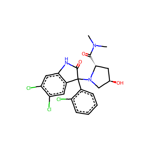 CN(C)C(=O)[C@@H]1C[C@@H](O)CN1C1(c2ccccc2Cl)C(=O)Nc2cc(Cl)c(Cl)cc21